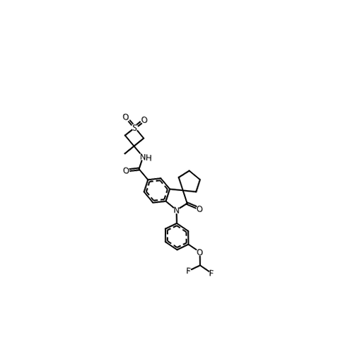 CC1(NC(=O)c2ccc3c(c2)C2(CCCC2)C(=O)N3c2cccc(OC(F)F)c2)CS(=O)(=O)C1